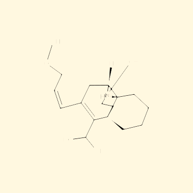 COC/C=C\C1=C(C(C)O)[C@@]23CCCC[C@@]2(O)[C@@H](C1)N(C)CC3